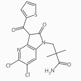 CC(C)(CN1C(=O)C(C(=O)c2cccs2)c2nc(Cl)c(Cl)cc21)C(N)=O